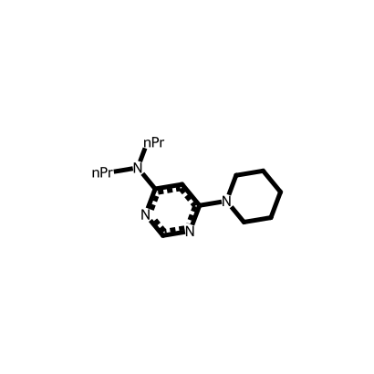 CCCN(CCC)c1cc(N2CCCCC2)ncn1